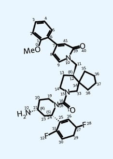 COc1ccccc1-c1ccn(C[C@@H]2CCN(C(=O)N3CC[C@@H](N)C[C@H]3C3=CC(F)CC=C3F)CC23CCCC3)c(=O)c1